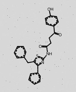 O=C(CCC(=O)c1ccc(O)cc1)Nc1nc(-c2ccccc2)c(Cc2ccccc2)s1